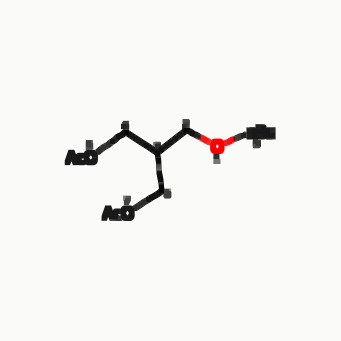 CCCCOCC(COC(C)=O)COC(C)=O